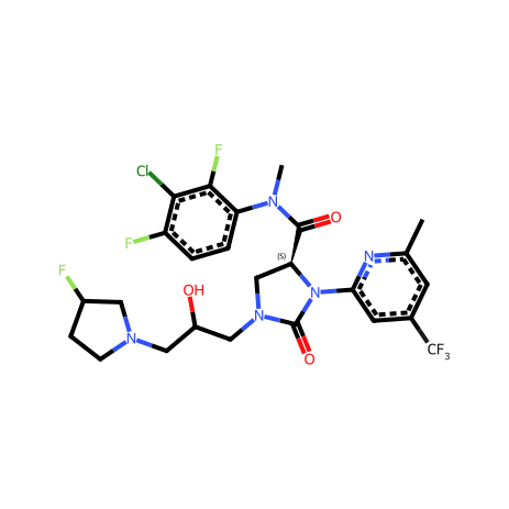 Cc1cc(C(F)(F)F)cc(N2C(=O)N(CC(O)CN3CCC(F)C3)C[C@H]2C(=O)N(C)c2ccc(F)c(Cl)c2F)n1